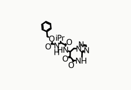 CC(C)C(NC(=O)OCc1ccccc1)C(=O)NC1Cn2ncnc2CNC(=O)C1=O